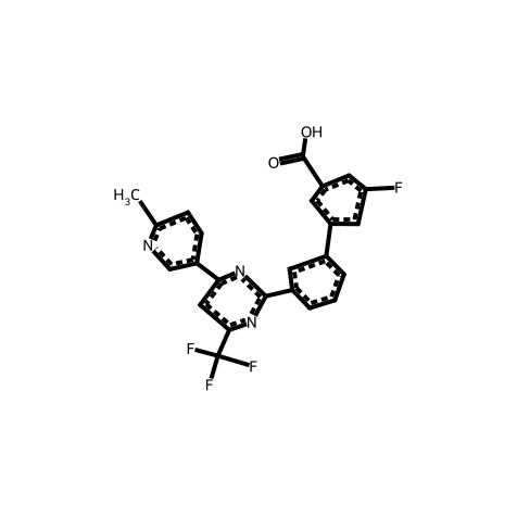 Cc1ccc(-c2cc(C(F)(F)F)nc(-c3cccc(-c4cc(F)cc(C(=O)O)c4)c3)n2)cn1